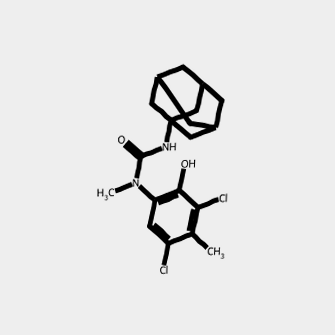 Cc1c(Cl)cc(N(C)C(=O)NC23CC4CC(CC(C4)C2)C3)c(O)c1Cl